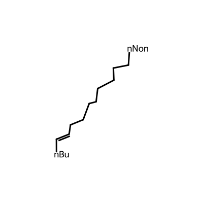 [CH2]CCC/C=C/CCCCCCCCCCCCCCCC[CH2]